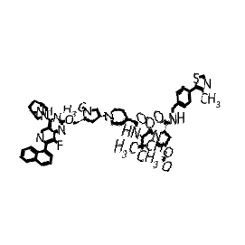 Cc1ncsc1-c1ccc(CNC(=O)[C@@H]2C[C@@H](OC=O)CN2C(=O)[C@@H](NC(=O)C2CCN([C@H]3C[C@@H](COc4nc(N5CC6CCC(C5)N6)c5cnc(-c6cccc7ccccc67)c(F)c5n4)N(C)C3)CC2)C(C)(C)C)cc1